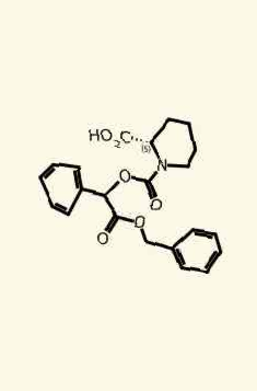 O=C(OCc1ccccc1)C(OC(=O)N1CCCC[C@H]1C(=O)O)c1ccccc1